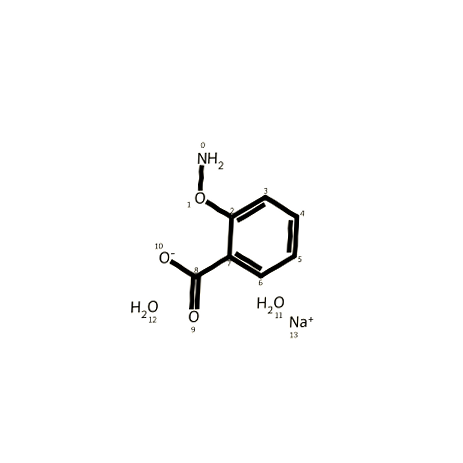 NOc1ccccc1C(=O)[O-].O.O.[Na+]